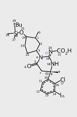 CC1CC(N2C(=O)C[C@@](C)(c3cccc(I)c3Cl)N/C2=N\C(=O)O)CCC1O[Si](C)(C)C(C)(C)C